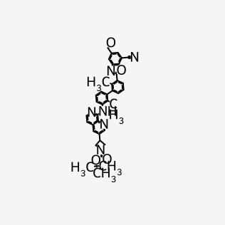 Cc1c(Nc2nccc3cc(C4CN(C(=O)OC(C)(C)C)C4)cnc23)cccc1-c1cccc(-c2nc3cc(C=O)cc(C#N)c3o2)c1C